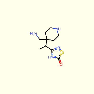 CC(c1nsc(=O)[nH]1)C1(CN)CCNCC1